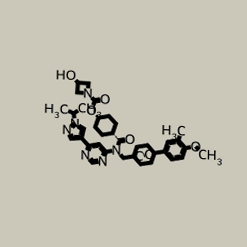 COc1ccc(C23CCC(CN(c4cc(-c5cnn(C(C)C)c5)ncn4)C(=O)[C@H]4CC[C@H](OC(=O)N5CC(O)C5)CC4)(CC2)CC3)cc1C